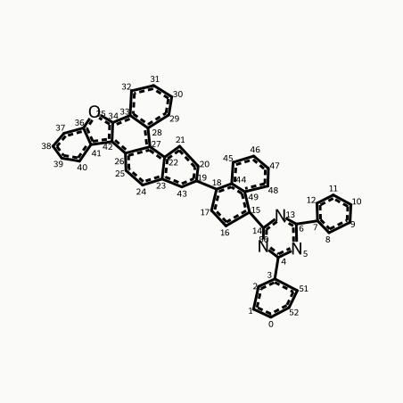 c1ccc(-c2nc(-c3ccccc3)nc(-c3ccc(-c4ccc5c(ccc6c5c5ccccc5c5oc7ccccc7c65)c4)c4ccccc34)n2)cc1